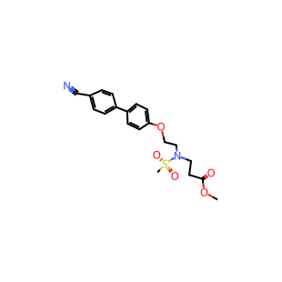 COC(=O)CCN(CCOc1ccc(-c2ccc(C#N)cc2)cc1)S(C)(=O)=O